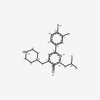 Cc1cc(-c2cc(CN3CCNCC3)c(=O)n(CC(C)C)n2)ccc1F